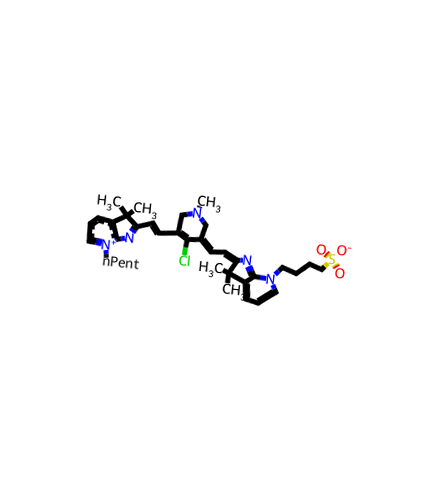 CCCCC[n+]1cccc2c1N=C(/C=C/C1=C(Cl)C(=C/C=C3/N=C4C(=CC=CN4CCCCS(=O)(=O)[O-])C3(C)C)/CN(C)C1)C2(C)C